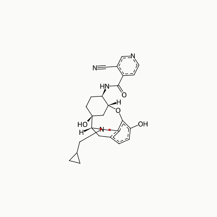 N#Cc1cnccc1C(=O)N[C@@H]1CC[C@]2(O)C[C@H]1Oc1c(O)ccc3c1CCCN(CC1CC1)[C@@H]2C3